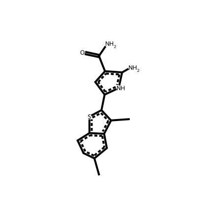 Cc1ccc2sc(-c3cc(C(N)=O)c(N)[nH]3)c(C)c2c1